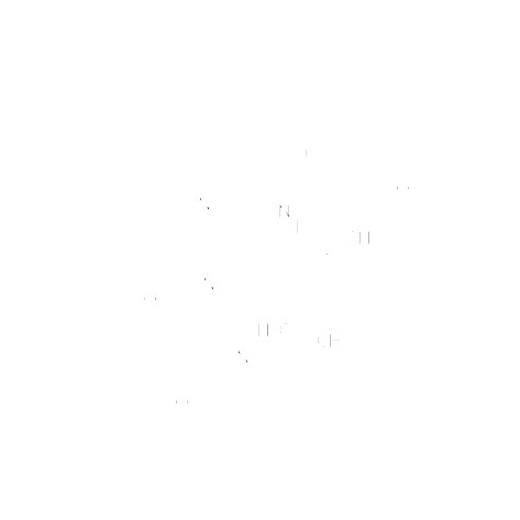 CC1(C)CCC(C)(C)c2c(N3c4ccc(-c5ccccc5)cc4Oc4cc5oc6ccccc6c5cc43)c(C#N)c(N3c4ccc(-c5ccccc5)cc4Oc4cc5oc6ccccc6c5cc43)c(C#N)c21